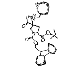 CC(C)(C)OC(=O)C1CC(NCc2cccnc2)(C(=O)O)CN1C(=O)OCC1c2ccccc2-c2ccccc21